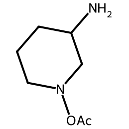 CC(=O)ON1CCCC(N)C1